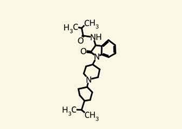 CC(C)C(=O)NC1C(=O)N(C2CCN(C3CCC(C(C)C)CC3)CC2)c2ccccc21